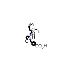 CCCC#CCC(C)[C@@H](O)/C=C/[C@H]1CCC(=O)N1CCc1ccc(C(=O)O)cc1